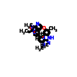 C=CC(=O)N1C[C@H]2CC[C@@H]1C[C@H]2c1ccc(N=C)c(/C(=N\C)Nc2cc(C)c(Oc3cnc4c(c3)ncn4C)cc2F)n1